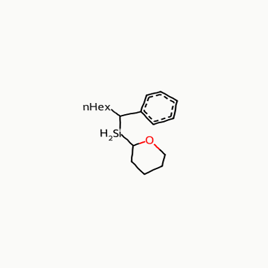 CCCCCCC([SiH2]C1CCCCO1)c1ccccc1